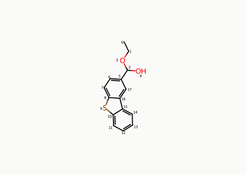 CCO[C](O)c1ccc2sc3ccccc3c2c1